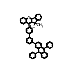 CC1(C)c2ccccc2-c2nc3ccccc3c(-c3ccc(-c4cccc(-c5ccc6c(-c7ccccc7)c7ccccc7c(-c7ccccc7)c6c5)c4)cc3)c21